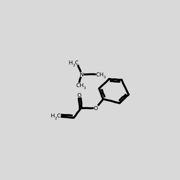 C=CC(=O)Oc1ccccc1.CN(C)C